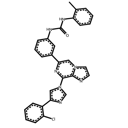 Cc1ccccc1NC(=O)Nc1cccc(-c2cn3ccnc3c(-n3cnc(-c4ccccc4Cl)c3)n2)c1